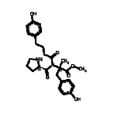 COC(=O)[C@](C)(Cc1ccc(O)cc1)N(C(=O)CCCc1ccc(O)cc1)C(=O)[C@@H]1CCCN1